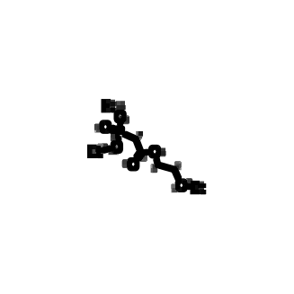 CCOCCOC(=O)CP(=O)(OCC)OCC